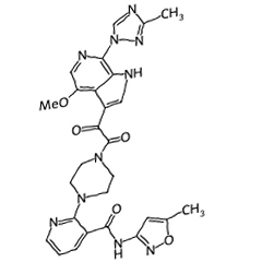 COc1cnc(-n2cnc(C)n2)c2[nH]cc(C(=O)C(=O)N3CCN(c4ncccc4C(=O)Nc4cc(C)on4)CC3)c12